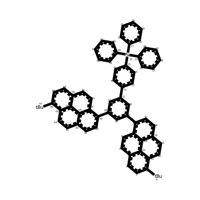 CC(C)(C)c1ccc2ccc3c(-c4cc(-c5ccc([Si](c6ccccc6)(c6ccccc6)c6ccccc6)cc5)cc(-c5ccc6ccc7c(C(C)(C)C)ccc8ccc5c6c87)c4)ccc4ccc1c2c43